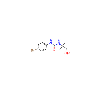 CC(C)(CO)NC(=O)Nc1ccc(Br)cc1